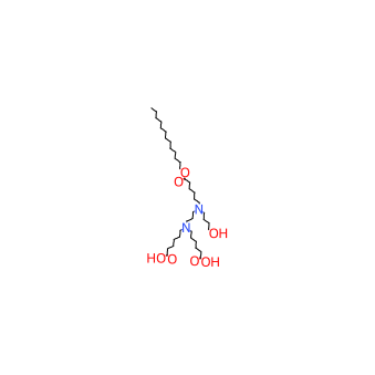 CCCCCCCCCCCCCOC(=O)CCCCCN(CCCCO)CCCN(CCCCCC(=O)O)CCCCCC(=O)O